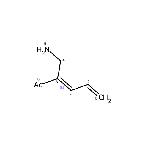 C=C/C=C(\CN)C(C)=O